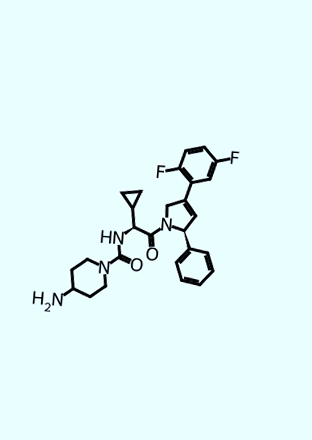 NC1CCN(C(=O)N[C@H](C(=O)N2CC(c3cc(F)ccc3F)=C[C@H]2c2ccccc2)C2CC2)CC1